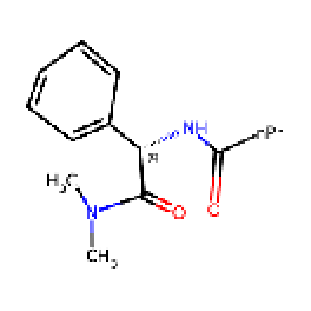 CCCC(=O)N[C@H](C(=O)N(C)C)c1ccccc1